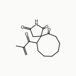 C=C(C)C(=O)C1CCCCCCC(=O)C12CC(=O)NC2=O